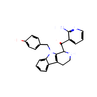 Nc1ncccc1C(=O)C1NCCc2c1n(Cc1ccc(O)cc1)c1ccccc21